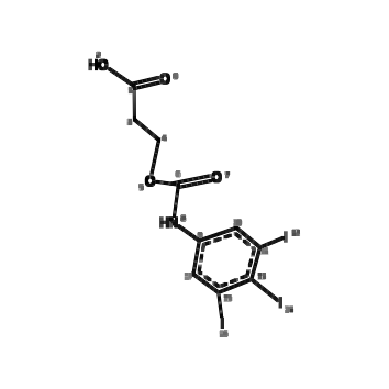 O=C(O)CCOC(=O)Nc1cc(I)c(I)c(I)c1